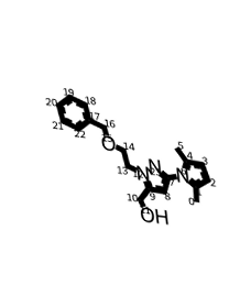 Cc1ccc(C)n1-c1cc(CO)n(CCOCc2ccccc2)n1